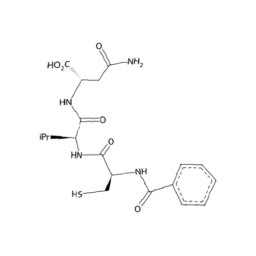 CC(C)[C@H](NC(=O)[C@H](CS)NC(=O)c1ccccc1)C(=O)N[C@@H](CC(N)=O)C(=O)O